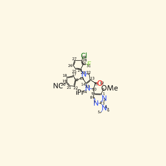 COc1nc(N(C)C)ncc1C1C(=O)C2=C(C(c3ccc(C#N)cc3)N(c3cccc(Cl)c3F)C2)N1C(C)C